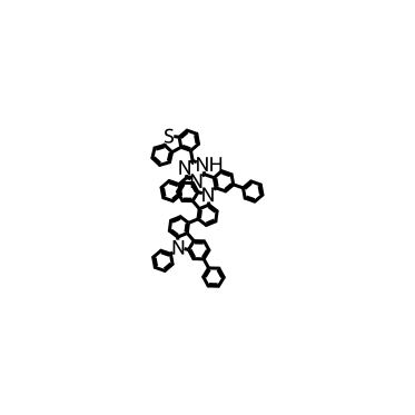 c1ccc(C2=NC(c3ccc(-c4ccccc4)cc3-n3c4ccccc4c4c(-c5cccc6c5c5ccc(-c7ccccc7)cc5n6-c5ccccc5)cccc43)NC(c3cccc4sc5ccccc5c34)=N2)cc1